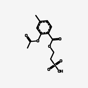 CC(=O)Oc1cc(C)ccc1C(=O)OCCS(=O)(=O)O